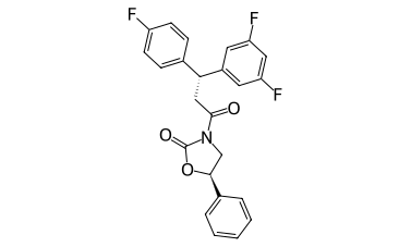 O=C(C[C@H](c1ccc(F)cc1)c1cc(F)cc(F)c1)N1C[C@@H](c2ccccc2)OC1=O